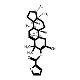 CC(=O)[C@H]1CC[C@H]2[C@@H]3CC=C4C(C)(C)C(OC(=O)c5ccco5)=C(C#N)C[C@]4(C)[C@H]3CC[C@]12C